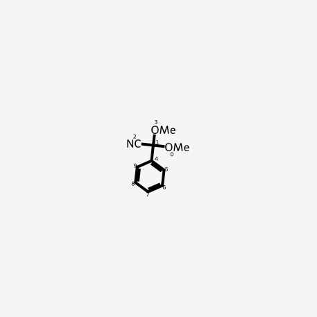 COC(C#N)(OC)c1ccccc1